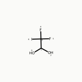 OC(O)C(F)(F)I